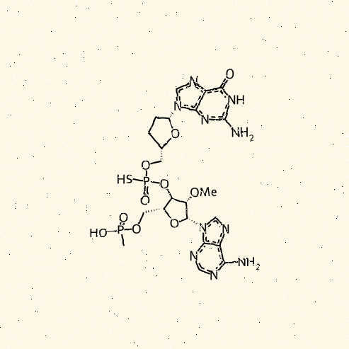 CO[C@H]1C(OP(=O)(S)OC[C@@H]2CC[C@H](n3cnc4c(=O)[nH]c(N)nc43)O2)[C@@H](COP(C)(=O)O)O[C@H]1n1cnc2c(N)ncnc21